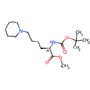 COC(=O)[C@@H](CCCCN1CCCCC1)NC(=O)OC(C)(C)C